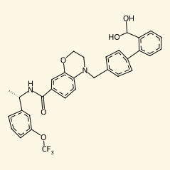 C[C@H](NC(=O)c1ccc2c(c1)OCCN2Cc1ccc(-c2ccccc2C(O)O)cc1)c1cccc(OC(F)(F)F)c1